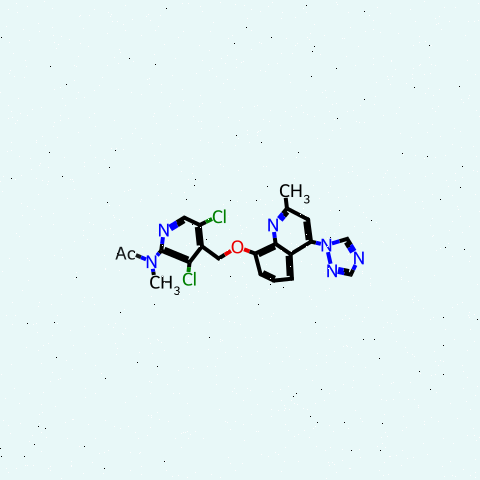 CC(=O)N(C)c1ncc(Cl)c(COc2cccc3c(-n4cncn4)cc(C)nc23)c1Cl